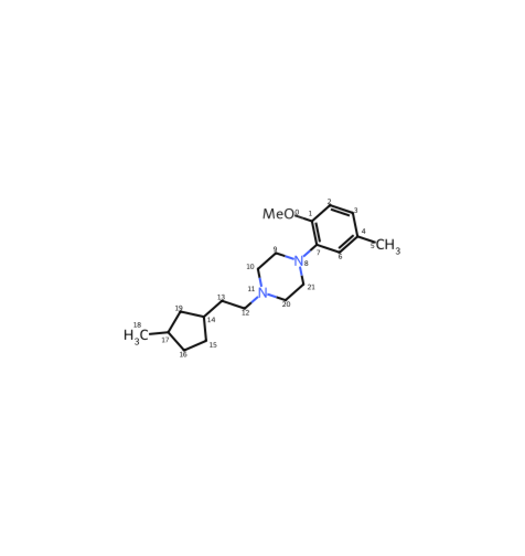 COc1ccc(C)cc1N1CCN(CCC2CCC(C)C2)CC1